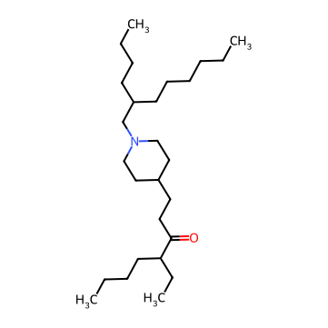 CCCCCCC(CCCC)CN1CCC(CCC(=O)C(CC)CCCC)CC1